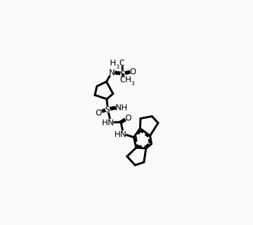 CS(C)(=O)=NC1CCC(S(=N)(=O)NC(=O)Nc2c3c(cc4c2CCC4)CCC3)C1